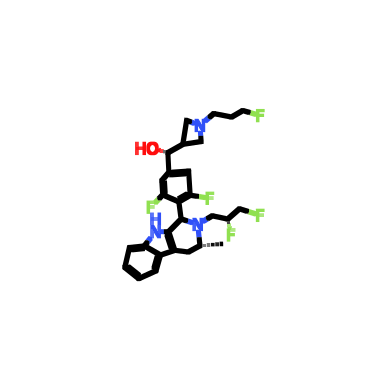 C[C@@H]1Cc2c([nH]c3ccccc23)C(c2c(F)cc([C@H](O)C3CN(CCCF)C3)cc2F)N1C[C@@H](F)CF